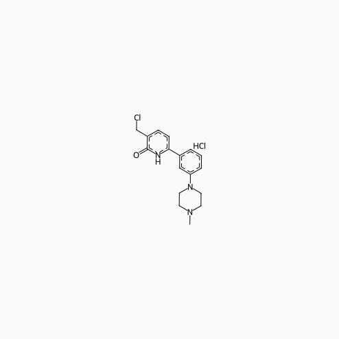 CN1CCN(c2cccc(-c3ccc(CCl)c(=O)[nH]3)c2)CC1.Cl